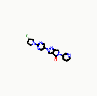 O=C1c2cn(-c3cnc(N4CC[C@H](F)C4)nc3)nc2CN1c1cccnc1